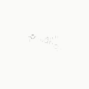 O=C(COc1ccc(Cl)c(F)c1)N[C@H]1CC[C@H](C(=O)NC[C@H]2CC[C@@H](C(F)(F)F)CC2)N(C(=O)O)C1